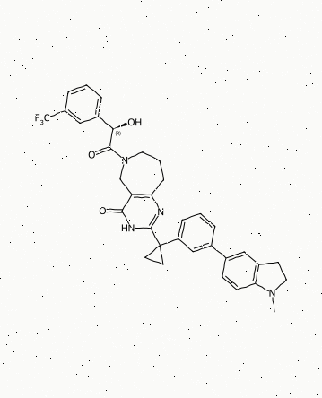 CN1CCc2cc(-c3cccc(C4(c5nc6c(c(=O)[nH]5)CN(C(=O)[C@H](O)c5cccc(C(F)(F)F)c5)CCC6)CC4)c3)ccc21